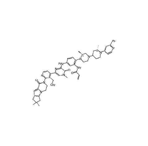 C=CC(=O)Nc1cc(Nc2nc(-c3ccnc(N4CCn5c(cc6c5CC(C)(C)C6)C4=O)c3CO)cn(C)c2=O)ccc1N1CCN(C2CCN(c3ccnc(C(C)C)c3)[C@@H](C)C2)C[C@@H]1C